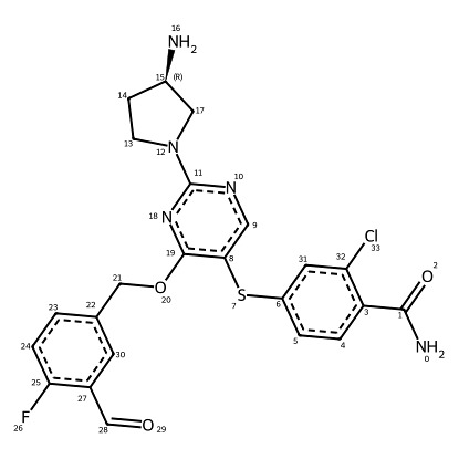 NC(=O)c1ccc(Sc2cnc(N3CC[C@@H](N)C3)nc2OCc2ccc(F)c(C=O)c2)cc1Cl